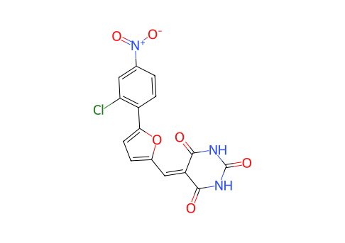 O=C1NC(=O)C(=Cc2ccc(-c3ccc([N+](=O)[O-])cc3Cl)o2)C(=O)N1